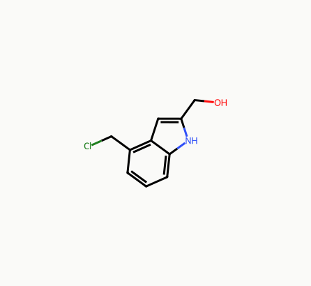 OCc1cc2c(CCl)cccc2[nH]1